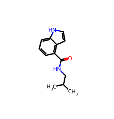 CC(C)CNC(=O)c1cccc2[nH]ccc12